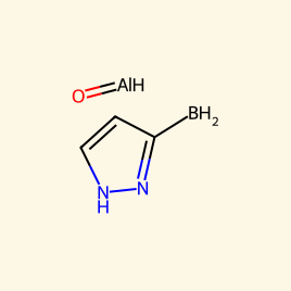 Bc1cc[nH]n1.[O]=[AlH]